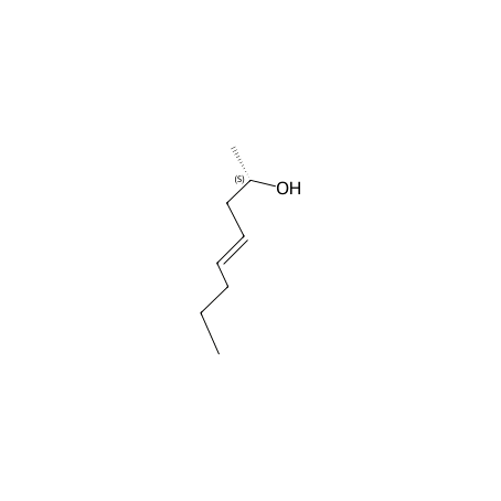 CCCC=CC[C@H](C)O